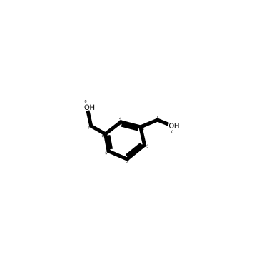 OCc1[c]ccc(CO)c1